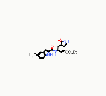 CCOC(=O)C=CC(CC1CCNC1=O)NC(=O)c1cc2cc(C)ccc2[nH]1